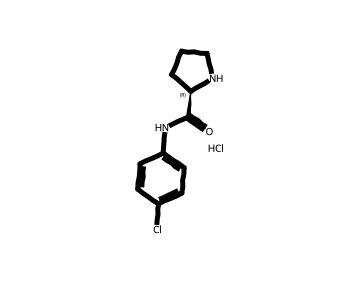 Cl.O=C(Nc1ccc(Cl)cc1)[C@H]1CCCN1